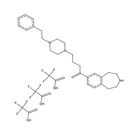 O=C(CCCN1CCN(CCc2ccccc2)CC1)c1ccc2c(c1)CCNCC2.O=C(O)C(F)(F)F.O=C(O)C(F)(F)F.O=C(O)C(F)(F)F